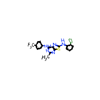 Cc1nc(Nc2ccc(C(F)(F)F)cc2)c2nc(Nc3ccccc3Cl)sc2n1